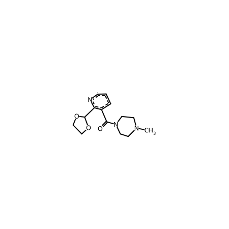 CN1CCN(C(=O)c2cc[c]nc2C2OCCO2)CC1